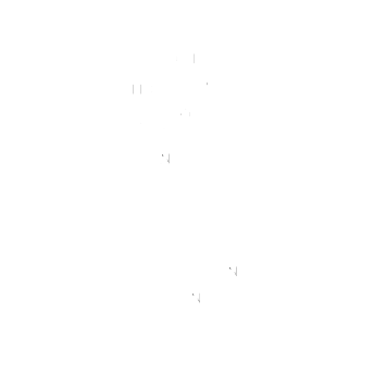 CC(C)(C)OC(=O)N1Cc2ccc(-c3ncon3)cc2C1